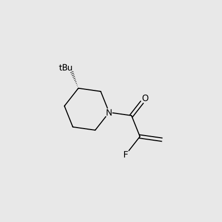 C=C(F)C(=O)N1CCC[C@H](C(C)(C)C)C1